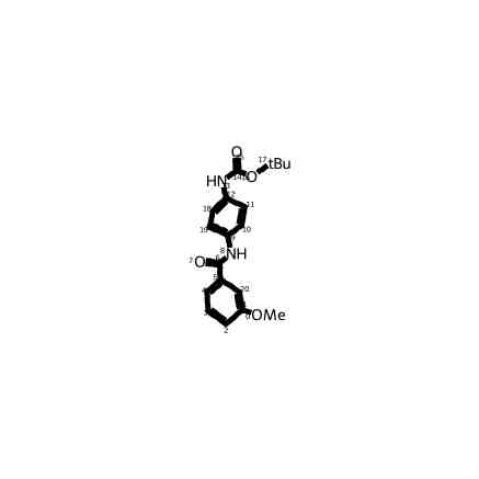 COc1cccc(C(=O)Nc2ccc(NC(=O)OC(C)(C)C)cc2)c1